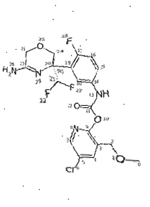 COCc1cc(Cl)cnc1OC(=O)Nc1ccc(F)c([C@]2(C(F)F)COCC(N)=N2)c1